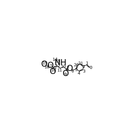 C=Cc1ccc(COC(=O)CCC(NC)C(=O)OC=O)cc1